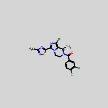 Cc1nsc(-c2nc(Br)c3n2CCN(C(=O)c2ccc(Cl)c(F)c2)[C@@H]3C)n1